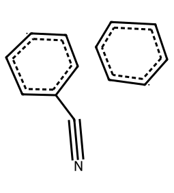 N#Cc1cc[c]cc1.[c]1ccccc1